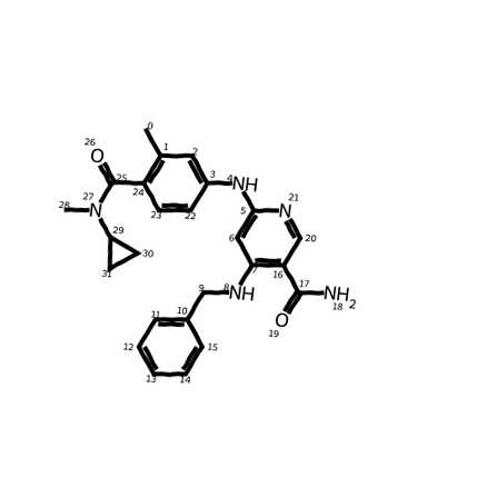 Cc1cc(Nc2cc(NCc3ccccc3)c(C(N)=O)cn2)ccc1C(=O)N(C)C1CC1